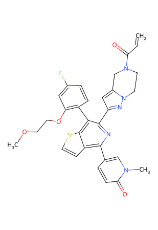 C=CC(=O)N1CCn2nc(-c3nc(-c4ccc(=O)n(C)c4)c4ccsc4c3-c3ccc(F)cc3OCCOC)cc2C1